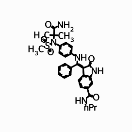 CCCNC(=O)c1ccc2c(c1)NC(=O)/C2=C(\Nc1ccc(N(C(C)(C)C(N)=O)S(C)(=O)=O)cc1)c1ccccc1